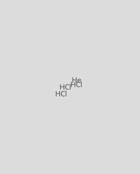 Cl.Cl.Cl.[He]